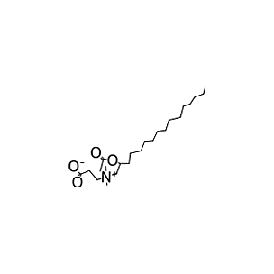 CCCCCCCCCCCCCCC(C[N+](C)(C)CCC(=O)[O-])OC(C)=O